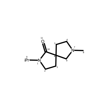 CC(C)N1CCC2(CCN(C)C2)C1=O